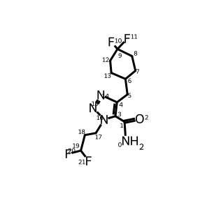 NC(=O)c1c(CC2CCC(F)(F)CC2)nnn1CCC(F)F